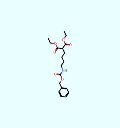 CCOC(=O)C(CCCCNC(=O)OCc1ccccc1)C(=O)OCC